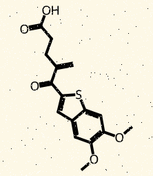 C=C(CCC(=O)O)C(=O)c1cc2cc(OC)c(OC)cc2s1